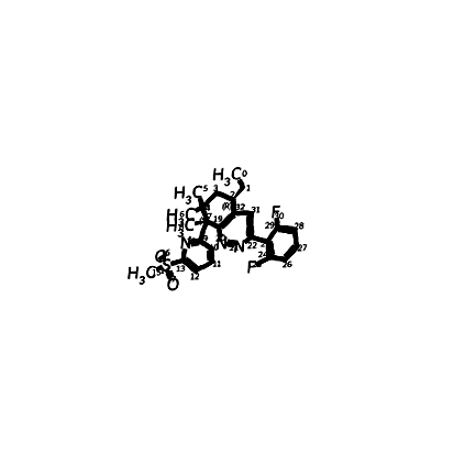 CC[C@@H]1CC(C)(C)[C@@](C)(c2cccc(S(C)(=O)=O)n2)c2nnc(-c3c(F)cccc3F)cc21